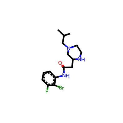 C[C](C)CN1CCNC(CC(=O)Nc2cccc(F)c2Br)C1